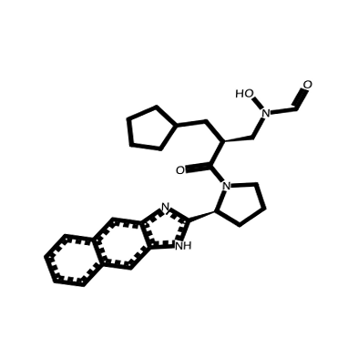 O=CN(O)C[C@H](CC1CCCC1)C(=O)N1CCC[C@H]1c1nc2cc3ccccc3cc2[nH]1